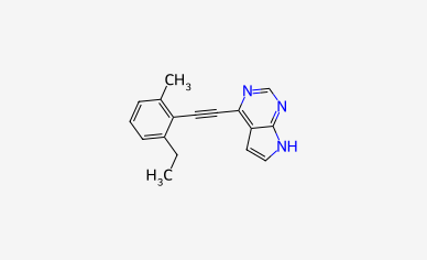 CCc1cccc(C)c1C#Cc1ncnc2[nH]ccc12